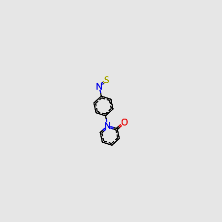 O=c1ccccn1-c1ccc(N=S)cc1